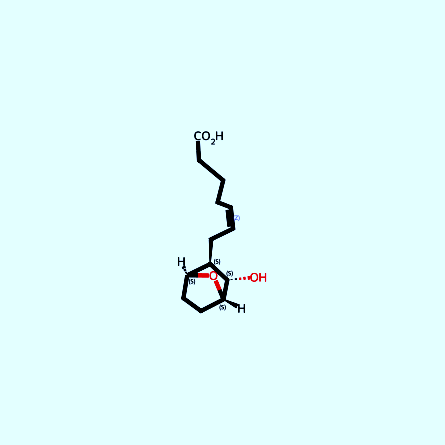 O=C(O)CCC/C=C\C[C@H]1[C@H](O)[C@@H]2CC[C@@H]1O2